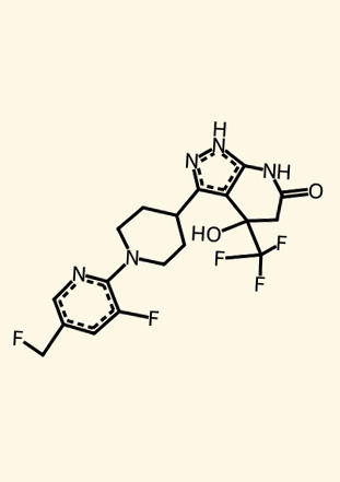 O=C1CC(O)(C(F)(F)F)c2c(C3CCN(c4ncc(CF)cc4F)CC3)n[nH]c2N1